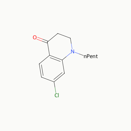 CCCCCN1CCC(=O)c2ccc(Cl)cc21